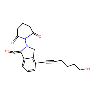 O=C=C1c2cccc(C#CCCCCO)c2CN1N1C(=O)CCCC1=O